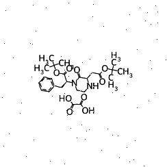 CC(C)(C)OC(=O)CC1NCCN([C@@H](Cc2ccccc2)C(=O)OC(C)(C)C)C1=O.O=C(O)C(=O)O